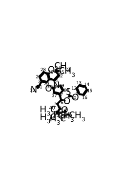 C[SiH](C)OC(CC(OC(=S)Oc1ccccc1)c1ccn(C2=CC(C)(C)Oc3ccc(C#N)cc32)c(=O)c1)C(C)(C)C